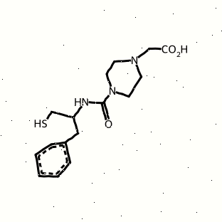 O=C(O)CN1CCN(C(=O)NC(CS)Cc2ccccc2)CC1